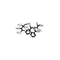 CC(C)C(=O)O.CC(C)C(O)C(C)(C)CO.O=C(O)c1ccccc1.O=C(O)c1ccccc1